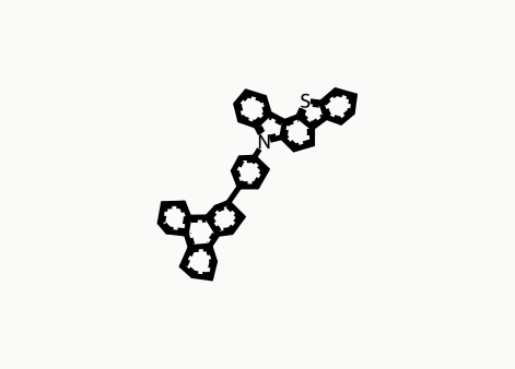 c1ccc2c(c1)sc1c2ccc2c1c1ccccc1n2-c1ccc(-c2ccc3c4ccccc4c4ccccc4c3c2)cc1